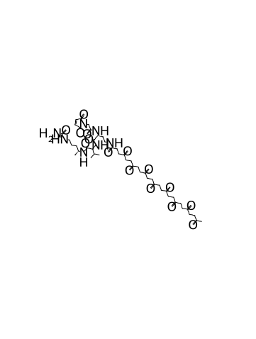 CC(=O)CCC(=O)CCC(=O)CCC(=O)CCC(=O)CCC(=O)CCC(=O)CCC(=O)CCC(=O)NCC[C@H](NC(=O)CN1C(=O)C=CC1=O)C(=O)N[C@H](C(=O)N[C@@H](C)CCCNC(N)=O)C(C)C